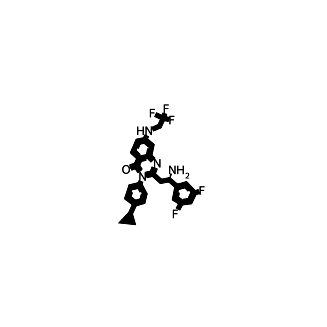 N[C@@H](Cc1nc2cc(NCC(F)(F)F)ccc2c(=O)n1-c1ccc(C2CC2)cc1)c1cc(F)cc(F)c1